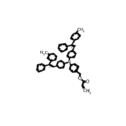 C=CC(=O)OCc1ccc(N(c2ccc(/C=C(/c3ccccc3)c3cccc(C)c3)cc2)c2ccc(/C=C(\c3ccccc3)c3ccc(C)cc3)cc2)cc1